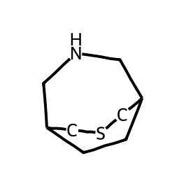 C1CC2CNCC1CSC2